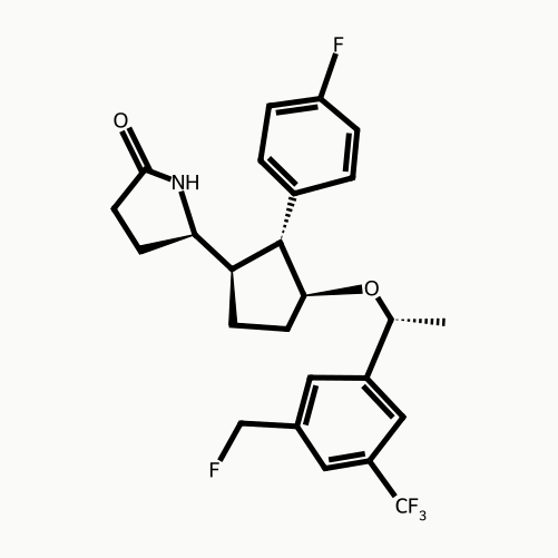 C[C@@H](O[C@H]1CC[C@@H]([C@H]2CCC(=O)N2)[C@@H]1c1ccc(F)cc1)c1cc(CF)cc(C(F)(F)F)c1